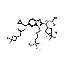 CC(C)(C)[S@@+]([O-])N[C@H](c1nc2ccc([C@H](NC(=O)CC3CC(F)(F)C3)C3CC3)cc2n1COCC[Si](C)(C)C)C1C[C@@H]2[C@H](C1)C2(F)F